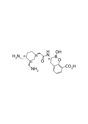 NC[C@@H]1CC[C@@H](CC(=O)N[C@H]2Cc3cccc(C(=O)O)c3OB2O)C[C@H]1CN